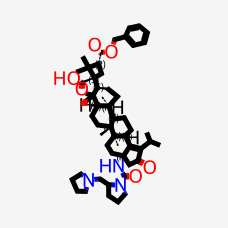 CC(C)C1=C2[C@H]3CC[C@@H]4[C@]5(C)CC[C@H]([C@@]6(C(=O)O)C[C@@H](C(=O)OCc7ccccc7)C6(C)C)C(C)(C)[C@H]5CC[C@@]4(C)[C@]3(C)CC[C@@]2(NC(=O)N2CCCC2CN2CCCC2)CC1=O